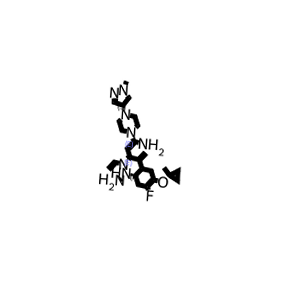 C=C/N=C(\C=C(/N)N1CCN([C@@H]2C=NN(C)C2)CC1)C(=C)C1CC(OC2(C)CC2)=C(F)C[C@H]1NN